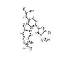 CCc1oc(-c2ccc(OC(F)F)c3oc4ccc(NS(C)(=O)=O)cc4c23)nc1C(=O)O